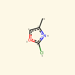 [CH2]c1coc(Cl)n1